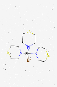 Br[Si](N1CCSCC1)(N1CCSCC1)N1CCSCC1